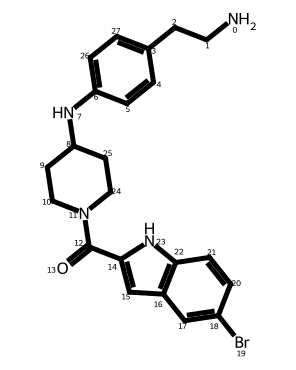 NCCc1ccc(NC2CCN(C(=O)c3cc4cc(Br)ccc4[nH]3)CC2)cc1